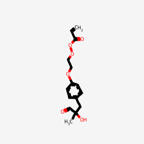 C=CC(=O)OOCCOc1ccc(CC(C)(O)C=O)cc1